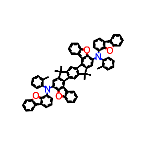 Cc1ccccc1N(c1cccc2c1oc1ccccc12)c1cc2c(c3c1oc1ccccc13)-c1cc3c(cc1C2(C)C)-c1c(cc(N(c2ccccc2C)c2cccc4c2oc2ccccc24)c2oc4ccccc4c12)C3(C)C